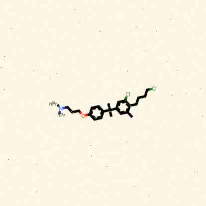 CCCN(CCC)CCCOc1ccc(C(C)(C)c2cc(C)c(CCCCCl)c(Cl)c2)cc1